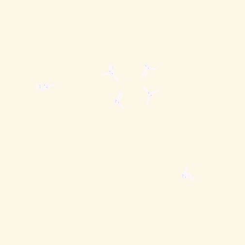 NC(=O)c1ccc(-c2cnc(Nc3ccc(N)cc3)c3nccn23)cc1